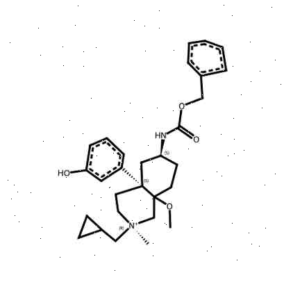 COC12CC[C@H](NC(=O)OCc3ccccc3)C[C@]1(c1cccc(O)c1)CC[N@+](C)(CC1CC1)C2